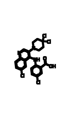 O=C(O)c1cc(Cl)ccc1Nc1c(N2CCC(Cl)(Cl)CC2)cnc2ccc(Cl)cc12